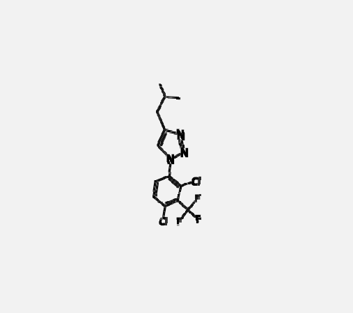 CC(C)Cc1cn(-c2ccc(Cl)c(C(F)(F)F)c2Cl)nn1